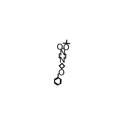 CC(C)(C)OC(=O)N1CCN([C@H]2C[C@@H](OCc3ccccc3)C2)CC1